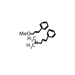 CN(C)CC=Cc1ccccc1.COCC=Cc1ccccc1